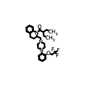 CCC(CC)C(=O)N1c2ccccc2CCC1CN1CCN(c2ccccc2OCC(F)(F)F)CC1